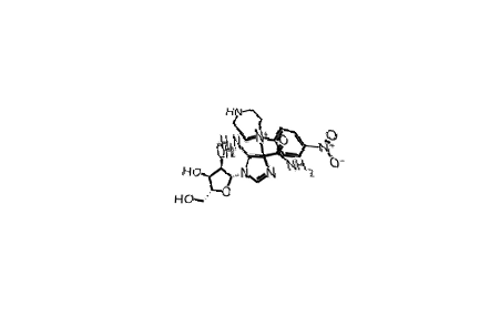 NC(=O)C1([N+]2(c3ccc([N+](=O)[O-])cc3)CCNCC2)N=CN([C@@H]2O[C@H](CO)[C@@H](O)[C@H]2O)C1N